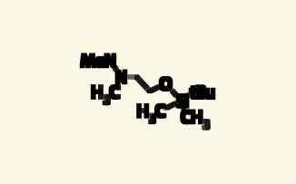 CNN(C)CCO[Si](C)(C)C(C)(C)C